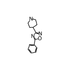 c1ccc(-c2nc(C3CC[N]CC3)no2)cc1